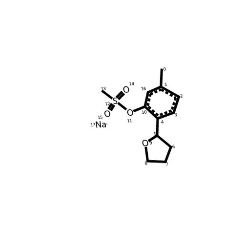 Cc1ccc(C2CCCO2)c(OS(C)(=O)=O)c1.[Na]